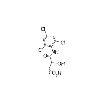 O=C(O)CC(O)C(=O)Nc1c(Cl)cc(Cl)cc1Cl